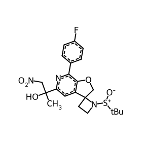 CC(O)(C[N+](=O)[O-])c1cc2c(c(-c3ccc(F)cc3)n1)OCC21CCN1[S+]([O-])C(C)(C)C